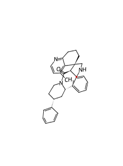 Cc1ccnc2c1[C@]1(CCC2)CNC[C@H]1C(=O)N1CC[C@@H](c2ccccc2)C[C@H]1c1ccccc1